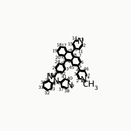 C[n+]1ccc(-c2ccc3c(-c4ccncc4)c4ccccc4c(-c4ccc(-c5nc6ccccc6n5-c5ccncc5)cc4)c3c2)cc1